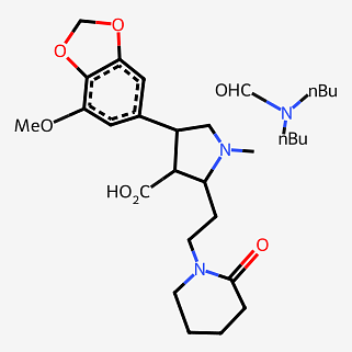 CCCCN(C=O)CCCC.COc1cc(C2CN(C)C(CCN3CCCCC3=O)C2C(=O)O)cc2c1OCO2